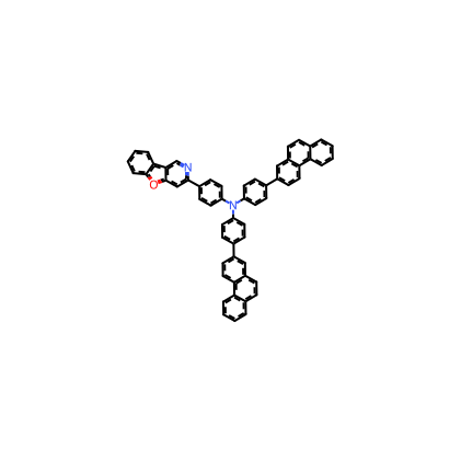 c1ccc2c(c1)ccc1cc(-c3ccc(N(c4ccc(-c5ccc6c(ccc7ccccc76)c5)cc4)c4ccc(-c5cc6oc7ccccc7c6cn5)cc4)cc3)ccc12